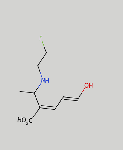 CC(NCCF)/C(=C\C=C\O)C(=O)O